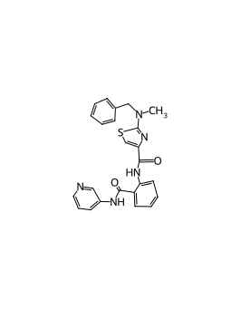 CN(Cc1ccccc1)c1nc(C(=O)Nc2ccccc2C(=O)Nc2cccnc2)cs1